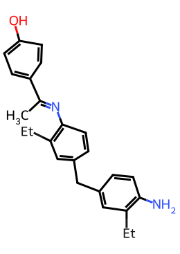 CCc1cc(Cc2ccc(/N=C(\C)c3ccc(O)cc3)c(CC)c2)ccc1N